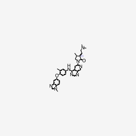 Cc1cc(Nc2ncnc3cnc(N4CC(C)/C(=C\CN(C)C)C4=O)cc23)ccc1Oc1ccc2c(c1)ncn2C